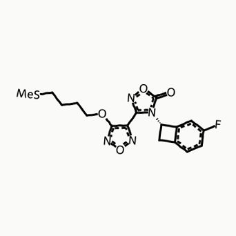 CSCCCCOc1nonc1-c1noc(=O)n1[C@H]1Cc2ccc(F)cc21